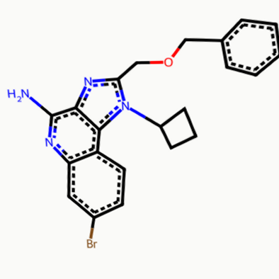 Nc1nc2cc(Br)ccc2c2c1nc(COCc1ccccc1)n2C1CCC1